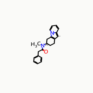 CN(C(=O)Cc1ccccc1)[C@@H]1CCc2[c]c3ccccn3c2C1